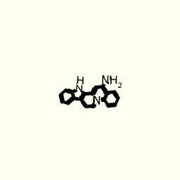 Nc1cc2[n+](c3ccccc13)CCc1c-2[nH]c2ccccc12